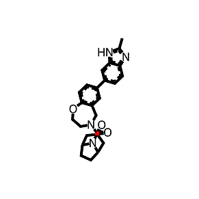 Cc1nc2ccc(-c3ccc4c(c3)CN(C(=O)N3C5CCC3CC(=O)C5)CCO4)cc2[nH]1